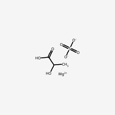 CC(O)C(=O)O.O=S(=O)([O-])[O-].[Mg+2]